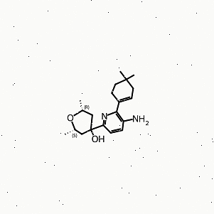 C[C@@H]1CC(O)(c2ccc(N)c(C3=CCC(C)(C)CC3)n2)C[C@H](C)O1